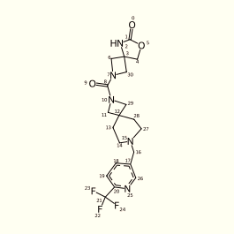 O=C1NC2(CO1)CN(C(=O)N1CC3(CCN(Cc4ccc(C(F)(F)F)nc4)CC3)C1)C2